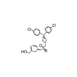 O=S(=O)(/C=C1\C=CC=C(CO)C1)CC1CN(C(c2ccc(Cl)cc2)c2ccc(Cl)cc2)C1